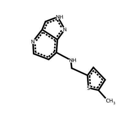 Cc1ccc(CNc2ccnc3c[nH]nc23)s1